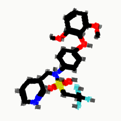 COc1cccc(OC)c1Oc1ccc(N(Cc2cccnc2)S(=O)(=O)CC(F)(F)F)cc1